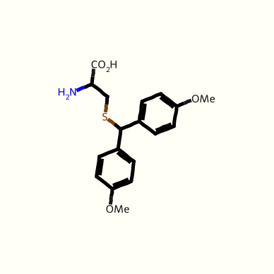 COc1ccc(C(SCC(N)C(=O)O)c2ccc(OC)cc2)cc1